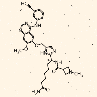 C#Cc1cccc(Nc2ncnc3cc(OC)c(OCc4cnc([C@H](CCCCCC(N)=O)NC(=O)C5CN(C)C5)[nH]4)cc23)c1